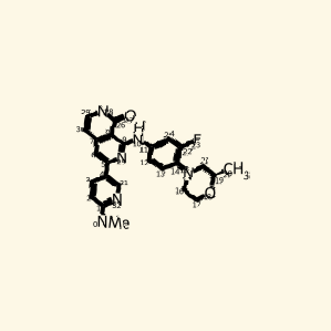 CNc1ccc(-c2cc3c(c(Nc4ccc(N5CCO[C@H](C)C5)c(F)c4)n2)C(=O)[N]C=C3)cn1